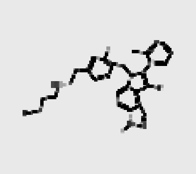 Cc1ccccc1-c1c(Cl)c2c3cnn(C)c3ccc2n1Cc1ccc(CCNCCCF)cc1F